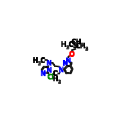 CCN(CCCN(CC)c1cccc2cn(COCC[Si](C)(C)C)nc12)c1ccnc(Cl)n1